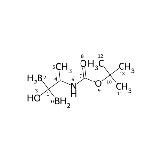 BC(B)(O)C(C)NC(=O)OC(C)(C)C